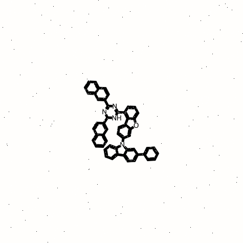 c1ccc(-c2ccc3c4ccccc4n(-c4ccc5c(c4)oc4cccc(C6=NC(c7ccc8ccccc8c7)=NC(c7ccc8ccccc8c7)N6)c45)c3c2)cc1